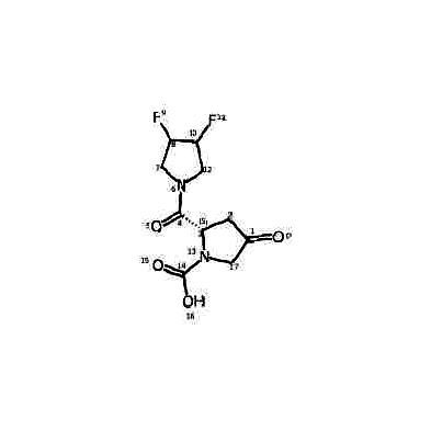 O=C1C[C@@H](C(=O)N2CC(F)C(F)C2)N(C(=O)O)C1